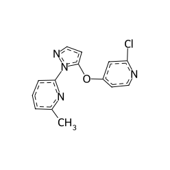 Cc1cccc(-n2nccc2Oc2ccnc(Cl)c2)n1